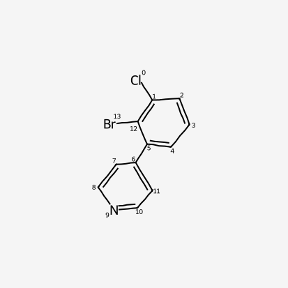 Clc1cccc(-c2ccncc2)c1Br